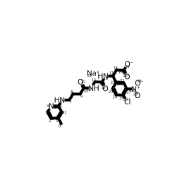 Cc1ccnc(NCCCC(=O)NCC(=O)NC(CC(=O)[O-])c2ccc(Cl)c([N+](=O)[O-])c2)c1.[Na+]